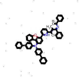 CC(/C(=N\C(C)c1ccccc1)c1ccccc1)=C(/C)C1C=CC=C(c2ccc(N(c3ccc(-c4ccccc4)cc3)c3ccc(-c4ccccc4)cc3)c3c2oc2ccccc23)N1